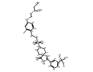 Cc1cc(OCCC(O)CO)ccc1CCS(=O)(=O)N1CCC2(CC1)N=C(c1cccc(C(F)(F)F)c1)NC2=O